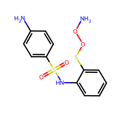 NOOSc1ccccc1NS(=O)(=O)c1ccc(N)cc1